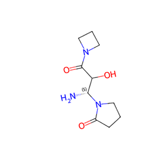 N[C@H](C(O)C(=O)N1CCC1)N1CCCC1=O